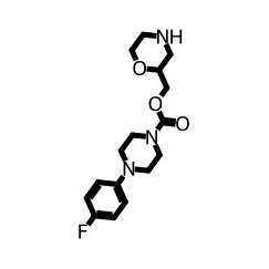 O=C(OCC1CNCCO1)N1CCN(c2ccc(F)cc2)CC1